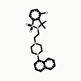 CC1(C)c2c(Cl)cccc2S(=O)(=O)N1CCN1CCN(c2cccc3ccccc23)CC1